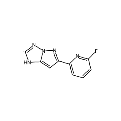 Fc1cccc(-c2cc3[nH][c]nn3n2)n1